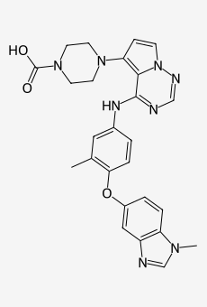 Cc1cc(Nc2ncnn3ccc(N4CCN(C(=O)O)CC4)c23)ccc1Oc1ccc2c(c1)ncn2C